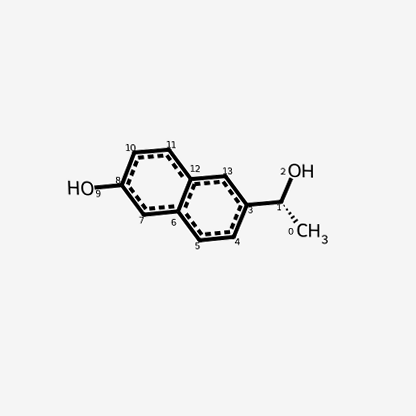 C[C@@H](O)c1ccc2cc(O)ccc2c1